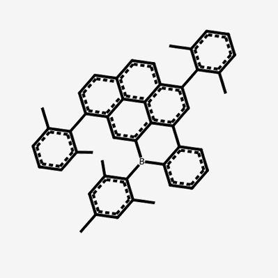 Cc1cc(C)c(B2c3ccccc3-c3cc(-c4c(C)cccc4C)c4ccc5ccc(-c6c(C)cccc6C)c6cc2c3c4c56)c(C)c1